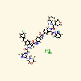 CN[C@@H](C)CN[C@H](C(=O)N1Cc2ccc(NC(=O)c3ccc(NC(=O)C4(C)CN(C(=O)CN5C[C@@H](C)NC[C@@H]5CN5CCOC[C@H]5C)c5cc(Cc6ccc(F)cc6)ccc54)cc3)cc2[C@H]1C(=O)Nc1c(F)cccc1F)C1CCOCC1.Cl.Cl.Cl